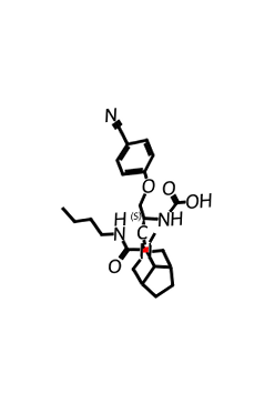 CCCCNC(=O)N(C)C1C2CCC1CN(C[C@@H](COc1ccc(C#N)cc1)NC(=O)O)C2